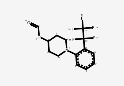 O=COC1CCN(c2ccccc2C(F)(F)C(F)(F)F)CC1